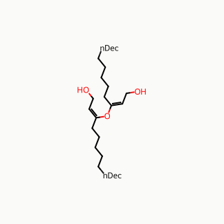 CCCCCCCCCCCCCCCC(=CCO)OC(=CCO)CCCCCCCCCCCCCCC